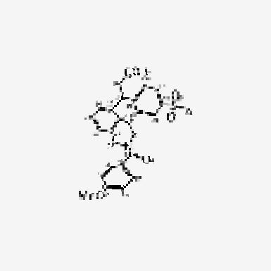 COc1ccc(C(=O)N2CCc3c(cccc3C(CC(=O)O)c3ccc(S(C)(=O)=O)cc3)C2)cc1